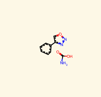 NC(=O)O.c1ccc(-c2conn2)cc1